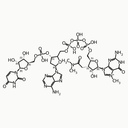 CN(C)C(=O)C[C@H]1[C@@H](O)[C@H](n2c[n+](C)c3c(=O)[nH]c(N)nc32)O[C@@H]1COP(=O)(O)OP(=O)(O)OP(=O)(O)OCC1O[C@@H](n2cnc3c(N)ncnc32)C[C@@H]1OP(=O)(O)OC[C@H]1O[C@@H](n2ccc(=O)[nH]c2=O)[C@H](O)[C@@H]1O